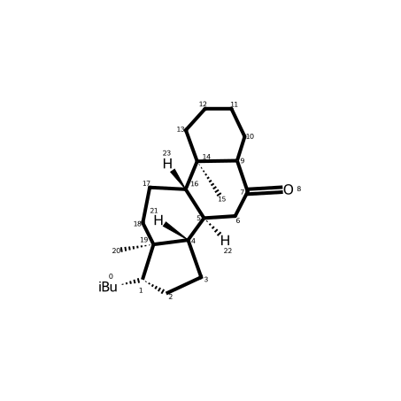 CC[C@@H](C)[C@H]1CC[C@H]2[C@@H]3CC(=O)C4CCCC[C@]4(C)[C@H]3CC[C@]12C